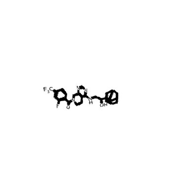 O=C(c1ccc(C(F)(F)F)cc1F)N1CCc2c(ncnc2NCC(O)C23CC4CC(CC(C4)C2)C3)C1